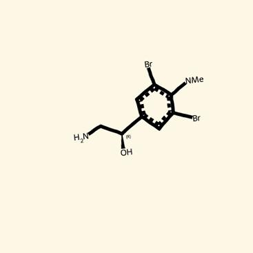 CNc1c(Br)cc([C@@H](O)CN)cc1Br